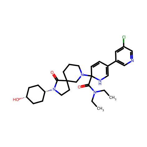 CCN(CC)C(=O)C1(N2CCCC3(CCN([C@H]4CC[C@@H](O)CC4)C3=O)C2)C=CC(c2cncc(Cl)c2)=CN1